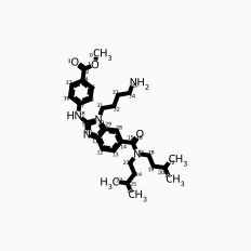 COC(=O)c1ccc(Nc2nc3ccc(C(=O)N(CCC(C)C)CCC(C)C)cc3n2CCCCN)cc1